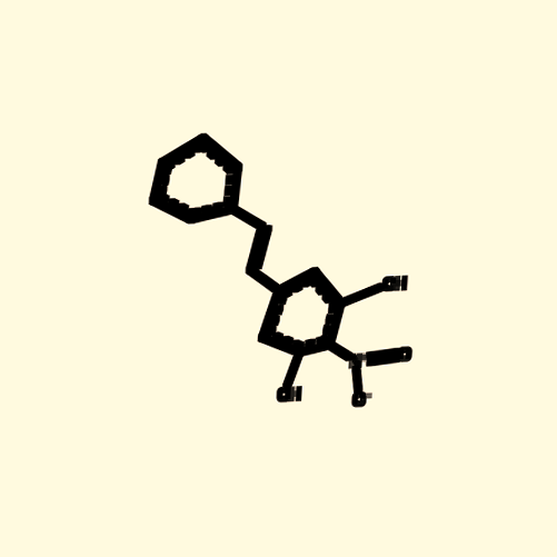 O=[N+]([O-])c1c(O)cc(/C=C/c2ccccc2)cc1O